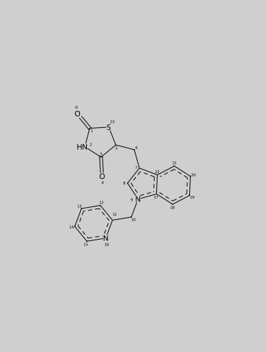 O=C1NC(=O)C(Cc2cn(Cc3ccccn3)c3ccccc23)S1